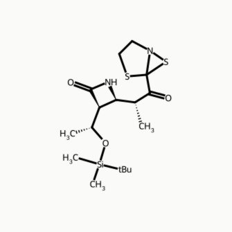 C[C@@H](O[Si](C)(C)C(C)(C)C)[C@H]1C(=O)N[C@H]1[C@@H](C)C(=O)C12SCCN1S2